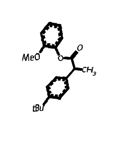 COc1ccccc1OC(=O)C(C)c1ccc(C(C)(C)C)cc1